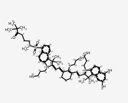 CN(CCCC(=O)C(C)(C)C)S(=O)(=O)c1cccc2c3c(ccc12)N(CCCS)/C(=C/C=C1\CCCC(/C=C/C2=[N+](CCCS)c4ccc5c(S)cc(S)cc5c4C2(C)C)=C1SCCS)C3(C)C